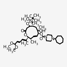 COC(/C=C/C=C(\C)[C@H]1OC(=O)CC(O[Si](C)(C)C(C)(C)C)CC[C@@](C)(O)[C@@H](OC(=O)N2CCN(C3CCCCCC3)CC2)/C=C/[C@@H]1C)OC